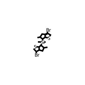 CC1CC2=C(Br)CSC2C1[Si](C)(C)C1C(C)CC2C(Br)CSC21